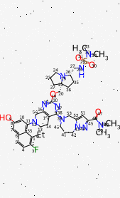 CCc1c(F)ccc2cc(O)cc(N3CCc4c(nc(OC[C@]56CCCN5[C@H](CNS(=O)(=O)N(C)C)CC6)nc4N4CCCn5nc(C(=O)N(C)C)cc5C4)C3)c12